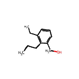 CCCc1c(CC)cccc1[SiH2]O